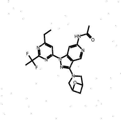 CCc1cc(-n2nc(N3CC4CC(C3)O4)c3cnc(NC(C)=O)cc32)nc(C(C)(F)F)n1